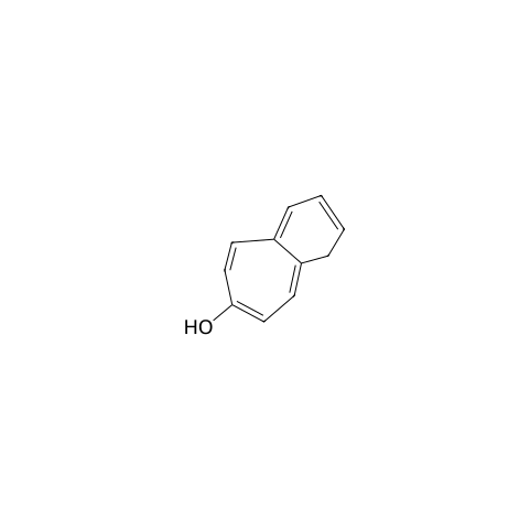 OC1=CC=C2CC=CC=C2C=C1